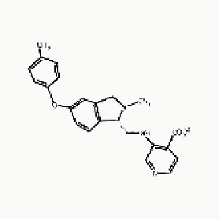 Cc1ccc(Oc2ccc3c(c2)CN(C)[C@@H]3CNc2cnccc2C(=O)O)cc1